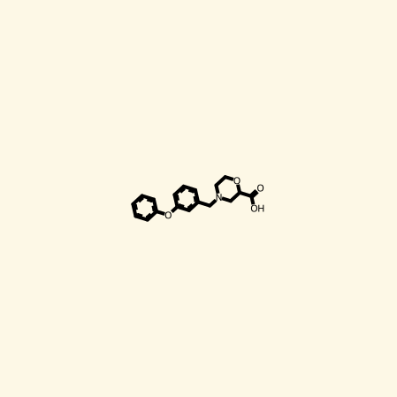 O=C(O)C1CN(Cc2cccc(Oc3ccccc3)c2)CCO1